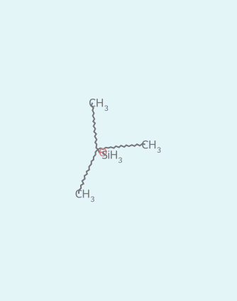 CCCCCCCCCCCCCCCCCCC(CCCCCCCCCCCCCCCCCC)(CCCCCCCCCCCCCCCCCC)CO[SiH3]